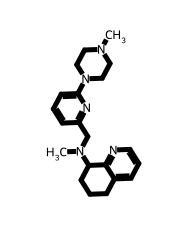 CN1CCN(c2cccc(CN(C)C3CCCc4cccnc43)n2)CC1